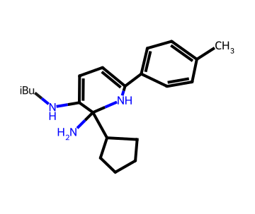 CCC(C)NC1=CC=C(c2ccc(C)cc2)NC1(N)C1CCCC1